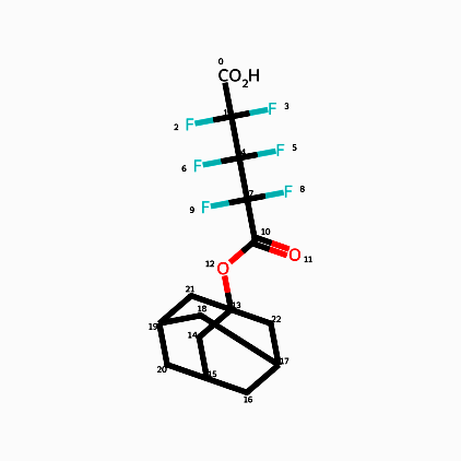 O=C(O)C(F)(F)C(F)(F)C(F)(F)C(=O)OC12CC3CC(CC(C3)C1)C2